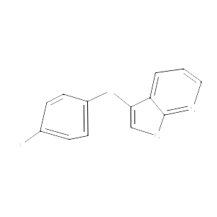 Brc1ccc(Sc2c[nH]c3ncccc23)cc1